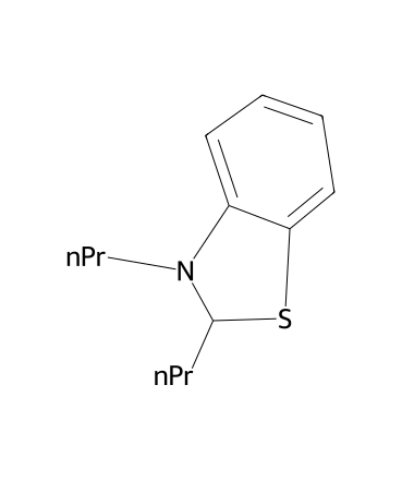 [CH2]CCC1Sc2ccccc2N1CCC